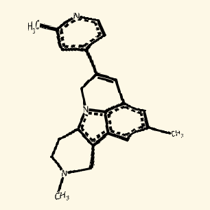 Cc1cc2c3c(c1)c1c(n3CC(c3ccnc(C)c3)=C2)CCN(C)C1